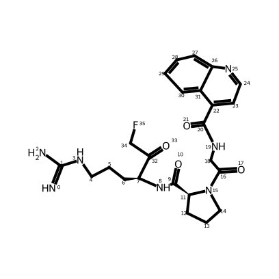 N=C(N)NCCC[C@H](NC(=O)[C@@H]1CCCN1C(=O)CNC(=O)c1ccnc2ccccc12)C(=O)CF